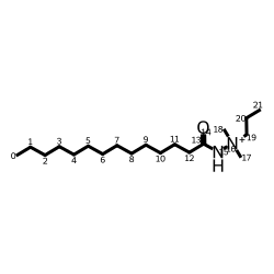 CCCCCCCCCCCCCC(=O)N[N+](C)(C)CCC